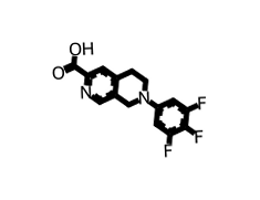 O=C(O)c1cc2c(cn1)CN(c1cc(F)c(F)c(F)c1)CC2